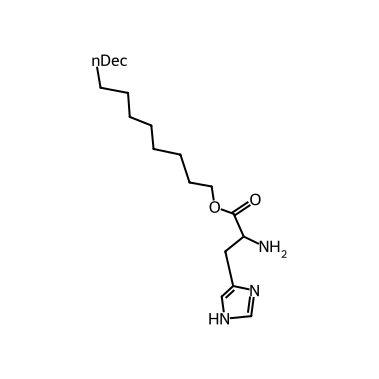 CCCCCCCCCCCCCCCCCCOC(=O)C(N)Cc1c[nH]cn1